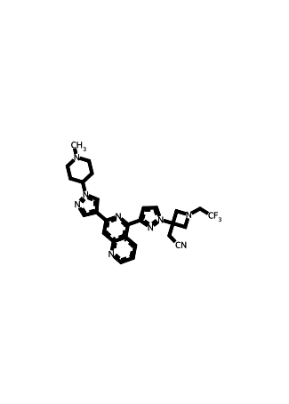 CN1CCC(n2cc(-c3cc4ncccc4c(-c4ccn(C5(CC#N)CN(CC(F)(F)F)C5)n4)n3)cn2)CC1